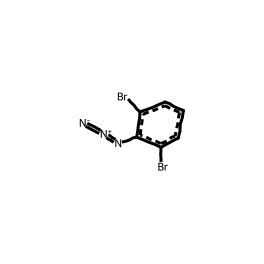 [N-]=[N+]=Nc1c(Br)cccc1Br